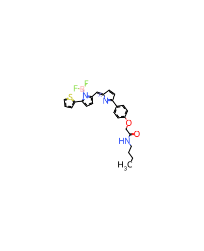 CCCCNC(=O)COc1ccc(C2=N/C(=C\c3ccc(-c4cccs4)n3B(F)F)C=C2)cc1